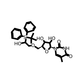 Cc1cn([C@H]2O[C@@H](COCC(O)[Si](c3ccccc3)(c3ccccc3)C(C)(C)C)C(O)C2O)c(=O)[nH]c1=O